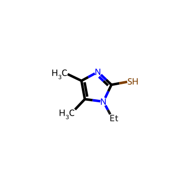 CCn1c(S)nc(C)c1C